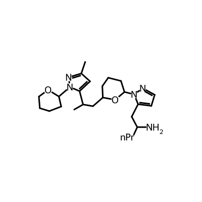 CCCC(N)Cc1ccnn1C1CCCC(CC(C)c2cc(C)nn2C2CCCCO2)O1